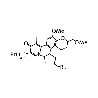 CCOC(=O)c1cn2c(c(F)c1=O)-c1cc(OC)c3c(c1C(CCC(C)(C)C)C2C)CCC(COC)O3